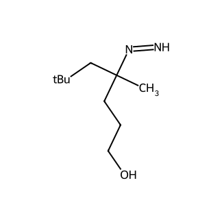 CC(C)(C)CC(C)(CCCO)N=N